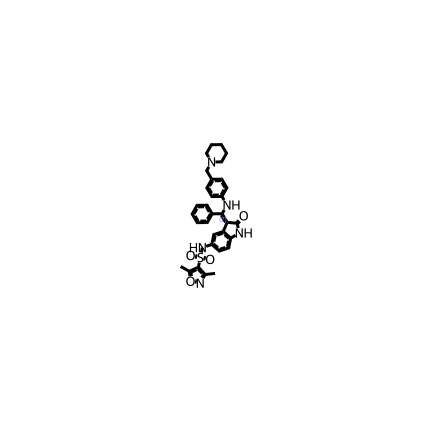 Cc1noc(C)c1S(=O)(=O)Nc1ccc2c(c1)/C(=C(/Nc1ccc(CN3CCCCC3)cc1)c1ccccc1)C(=O)N2